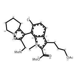 CNCc1nn2c(c1-c1c(Cl)ccc3c(CCCOC(C)=O)c(C(=O)OC)n(C)c13)CCCC2